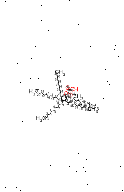 CCCCCCCCCCc1c(CCCCCCCCCC)c(CCCCCCCCCC)c(OC(OCC)C(=O)O)c(CCCCCCCCCC)c1CCCCCCCCCC